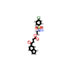 O=C(CCC(=O)c1ccc2c(c1)CCC2)OCCNS(=O)(=O)c1ccc(Cl)cc1